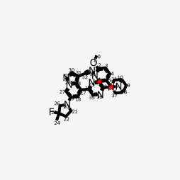 COc1ccc(CN2C3CC2CN(c2cnc(-c4cc(N5CCC(C)(F)C5)cn5ncc(C#N)c45)cn2)C3)cn1